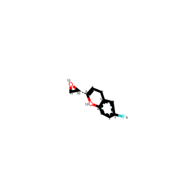 Fc1ccc2c(c1)CC=C([C@@H]1CO1)O2